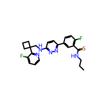 CCCNC(=S)c1cc(-c2ccc(NCC3(c4ncccc4F)CCC3)nn2)ccc1F